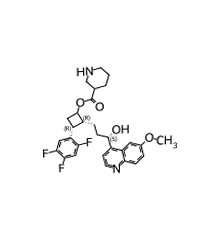 COc1ccc2nccc([C@@H](O)CC[C@H]3C(OC(=O)C4CCCNC4)C[C@H]3c3cc(F)c(F)cc3F)c2c1